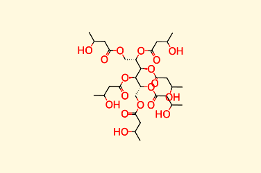 CC(O)CC(=O)OC[C@H](OC(=O)CC(C)O)[C@@H](OC(=O)CC(C)O)[C@H](OC(=O)CC(C)O)[C@@H](COC(=O)CC(C)O)OC(=O)CC(C)O